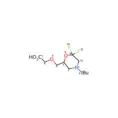 CC(C)(C)N1CC(COCC(=O)O)OC(F)(F)C1